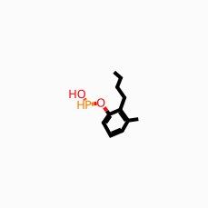 CCCCc1c(C)cccc1OPO